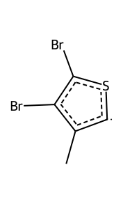 Cc1[c]sc(Br)c1Br